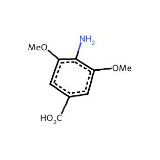 COc1cc(C(=O)O)cc(OC)c1N